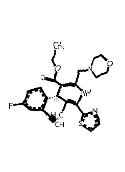 C#Cc1cc(F)ccc1[C@H]1C(C)=C(c2nccs2)NC(CN2CCOCC2)=C1C(=O)OCC